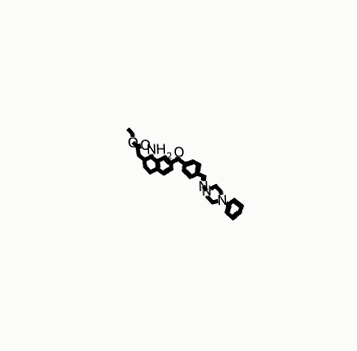 CCOC(=O)CC1CCc2ccc(C(=O)c3ccc(C=NN4CCN(c5ccccc5)CC4)cc3)cc2C1N